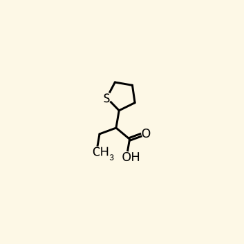 CCC(C(=O)O)C1CCCS1